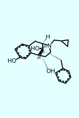 Oc1ccc2c(c1)C13CCN(CC4CC4)[C@H](C2)[C@]1(O)C[C@H](Cc1ccccc1)[C@H](O)C3